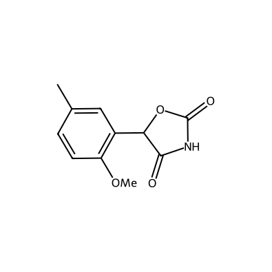 COc1ccc(C)cc1C1OC(=O)NC1=O